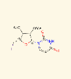 COC1C(OC(C)=O)[C@@H](CI)O[C@H]1n1ccc(=O)[nH]c1=O